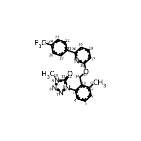 Cc1cccc(-n2nnn(C)c2=O)c1COc1cccc(-c2ccc(C(F)(F)F)cc2)n1